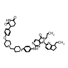 C=CCn1c(=O)c2cnc(Nc3ccc(N4CCC(CN5CCC(Oc6ccc(C7CCC(=O)NC7=O)cc6)CC5)CC4)cc3)nc2n1-c1ccc2c(n1)C(CC)CC2